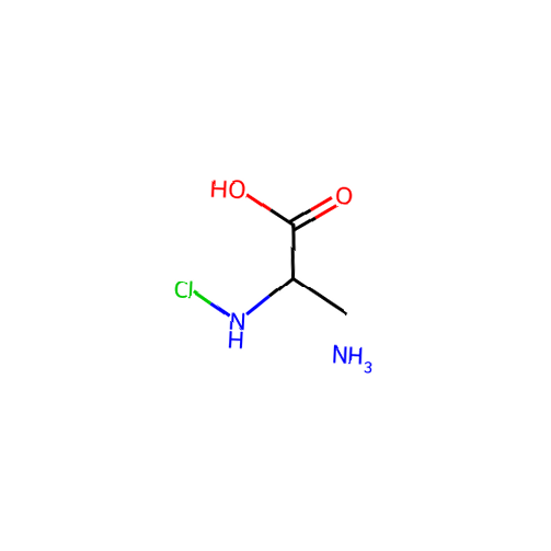 CC(NCl)C(=O)O.N